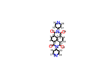 O=C1c2ccc3c4c2C(C=CC4C(=O)N(c2ccncc2)C3=O)C(=O)N1c1ccncc1